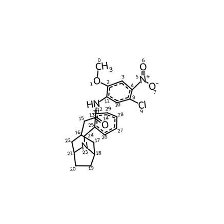 COc1cc([N+](=O)[O-])c(Cl)cc1NC(=O)CC1CC2CCC(C1)N2Cc1ccccc1